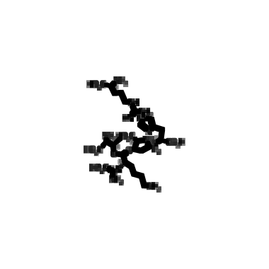 C[C@@H](OC(=O)[C@@H](N)CCCCN)[C@H](N)C(=O)O.N=C(N)NCCC[C@H](N)C(=O)O.NCC(=O)O.N[C@@H](Cc1c[nH]cn1)C(=O)O.O=C(O)[C@@H]1CCCN1